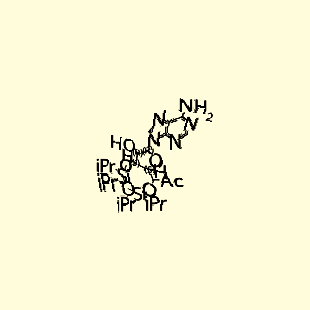 CC(=O)C1O[Si](C(C)C)(C(C)C)O[Si](C(C)C)(C(C)C)O[C@H]2[C@@H](O)[C@H](n3cnc4c(N)ncnc43)O[C@H]12